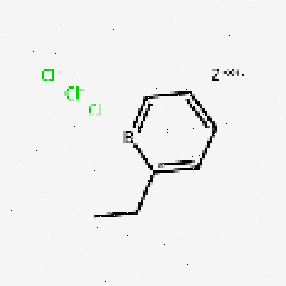 CCc1bcccc1.[Cl-].[Cl-].[Cl-].[Zr+3]